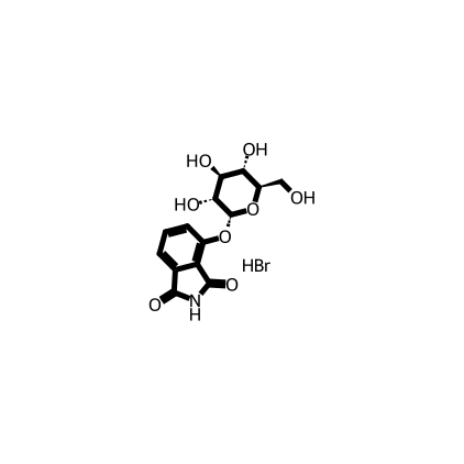 Br.O=C1NC(=O)c2c(O[C@H]3O[C@H](CO)[C@@H](O)[C@H](O)[C@H]3O)cccc21